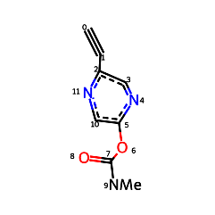 C#Cc1cnc(OC(=O)NC)cn1